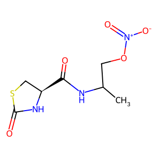 CC(CO[N+](=O)[O-])NC(=O)[C@@H]1CSC(=O)N1